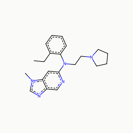 CCc1ccccc1N(CCN1CCCC1)c1cc2c(cn1)ncn2C